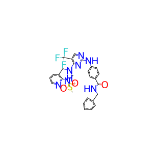 CN(c1ncccc1CNc1nc(Nc2ccc(C(=O)NCc3ccccc3)cc2)ncc1C(F)(F)F)S(C)(=O)=O